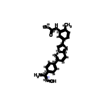 Cc1ccc(-c2cn3nc(-c4ccc(/C(N)=N\O)cc4)ccc3n2)cc1NC(=O)C(C)(C)C